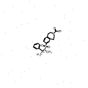 CC(C)C(=O)N1CCc2ccc(S(=O)(=O)N(C)[C@@H](C)c3ccccc3)cc2CC1